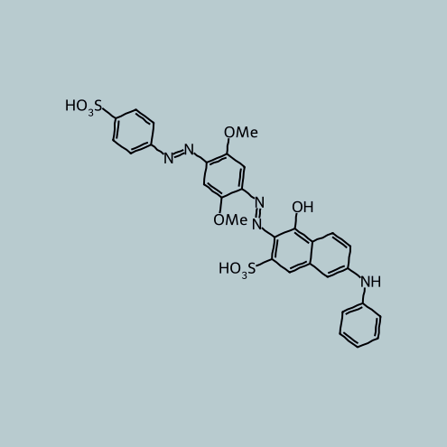 COc1cc(N=Nc2c(S(=O)(=O)O)cc3cc(Nc4ccccc4)ccc3c2O)c(OC)cc1N=Nc1ccc(S(=O)(=O)O)cc1